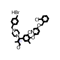 Br.C/C(C=O)=C(/c1cc(C)c(Oc2ccc(OCc3ccccc3Cl)cn2)c(Cl)c1)N1CCN(Cc2ccc(C)cc2)CC1